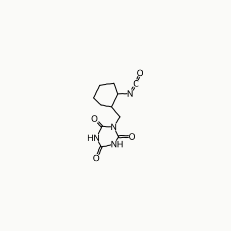 O=C=NC1CCCCC1Cn1c(=O)[nH]c(=O)[nH]c1=O